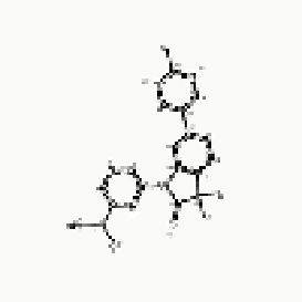 CCCN(C(C)=O)c1cncc(N2C(=O)C(C)(C)c3ccc(-c4cnc(C)nc4)cc32)n1